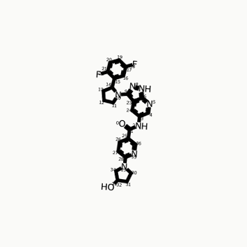 O=C(Nc1cnc2[nH]nc(N3CCCC3c3cc(F)ccc3F)c2c1)c1ccc(N2CCC(O)C2)nc1